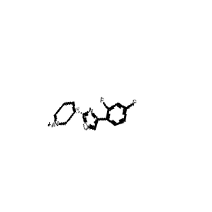 Fc1ccc(-c2coc([C@H]3CCCNC3)n2)c(F)c1